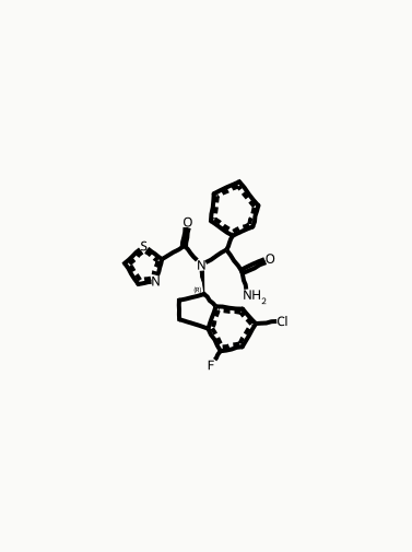 NC(=O)C(c1ccccc1)N(C(=O)c1nccs1)[C@@H]1CCc2c(F)cc(Cl)cc21